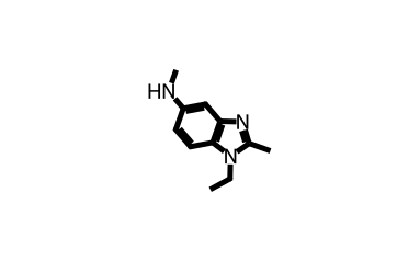 CCn1c(C)nc2cc(NC)ccc21